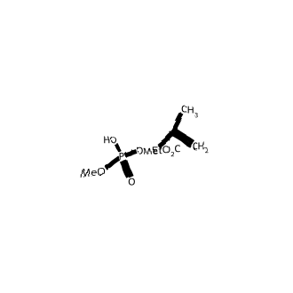 C=C(C)C(=O)OCC.COP(=O)(O)OC